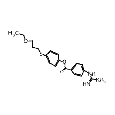 CCOCCCSc1ccc(OC(=O)c2ccc(NC(=N)N)cc2)cc1